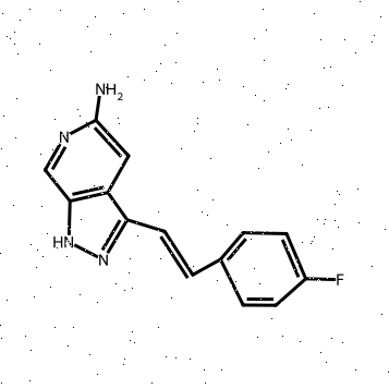 Nc1cc2c(C=Cc3ccc(F)cc3)n[nH]c2cn1